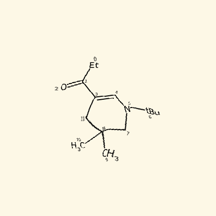 CCC(=O)C1=CN(C(C)(C)C)CC(C)(C)C1